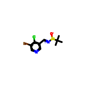 CC(C)(C)[S+]([O-])/N=C/c1cncc(Br)c1Cl